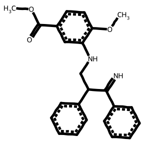 COC(=O)c1ccc(OC)c(NCC(C(=N)c2ccccc2)c2ccccc2)c1